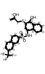 C=C(O)CSc1cc(NS(=O)(=O)c2ccc3ccc(C(F)(F)F)cc3c2)c2ccccc2c1O